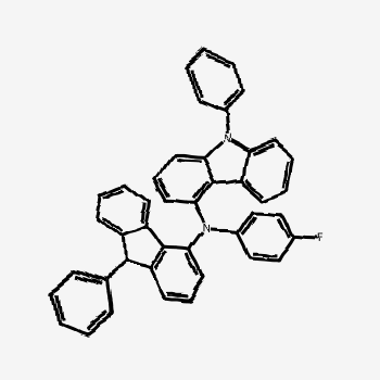 Fc1ccc(N(c2cccc3c2-c2ccccc2C3c2ccccc2)c2cccc3c2c2ccccc2n3-c2ccccc2)cc1